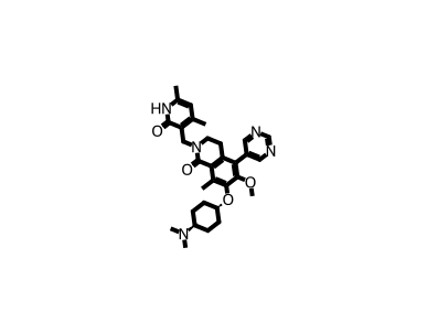 COc1c(O[C@H]2CC[C@H](N(C)C)CC2)c(C)c2c(c1-c1cncnc1)CCN(Cc1c(C)cc(C)[nH]c1=O)C2=O